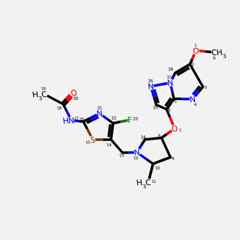 COc1cnc2c(OC3CC(C)N(Cc4sc(NC(C)=O)nc4F)C3)cnn2c1